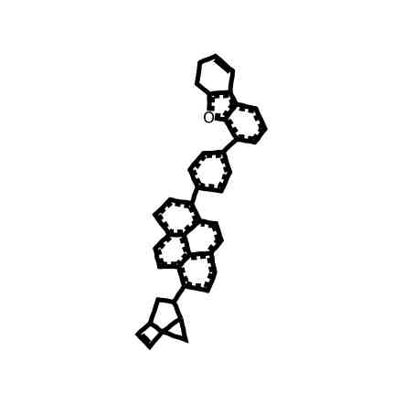 C1=Cc2c(oc3c(-c4ccc(-c5ccc6ccc7c(C8CC9C=CC9%10CC8%10)ccc8ccc5c6c87)cc4)cccc23)CC1